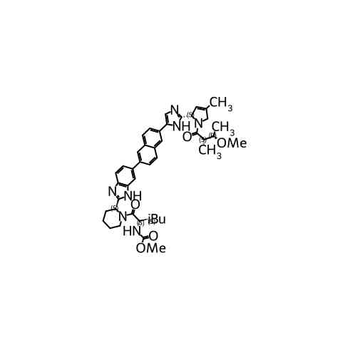 CC[C@H](C)[C@H](NC(=O)OC)C(=O)N1CCCC[C@H]1c1nc2ccc(-c3ccc4cc(-c5cnc([C@@H]6C=C(C)CN6C(=O)[C@@H](C)[C@@H](C)OC)[nH]5)ccc4c3)cc2[nH]1